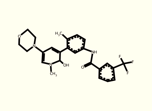 Cc1ccc(NC(=O)c2cccc(C(F)(F)F)c2)cc1C1=CC(N2CCOCC2)=CN(C)C1O